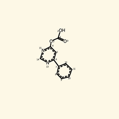 O=C(O)Oc1cc(-c2ccccc2)ncn1